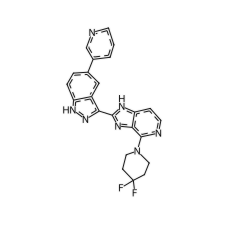 FC1(F)CCN(c2nccc3[nH]c(-c4n[nH]c5ccc(-c6cccnc6)cc45)nc23)CC1